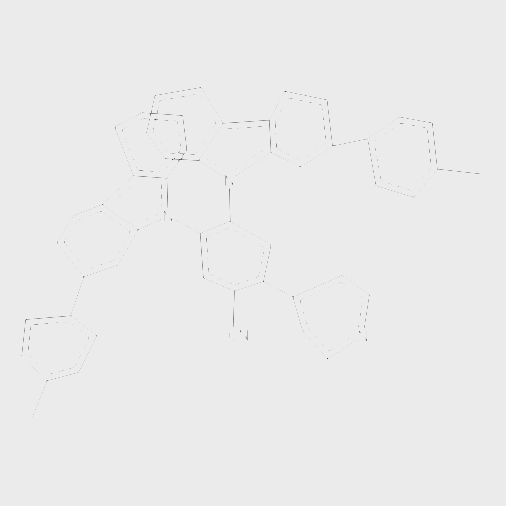 Cc1ccc(-c2ccc3c4ccccc4n(-c4cc(C#N)c(-c5ccncc5)cc4-n4c5ccccc5c5ccc(-c6ccc(C)cc6)cc54)c3c2)cc1